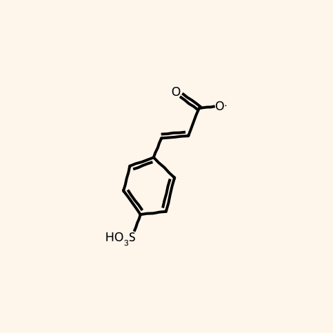 [O]C(=O)/C=C/c1ccc(S(=O)(=O)O)cc1